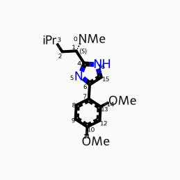 CN[C@@H](CC(C)C)c1nc(-c2ccc(OC)cc2OC)c[nH]1